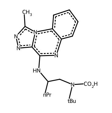 CCCC(CN(C(=O)O)C(C)(C)C)Nc1nc2ccccc2n2c(C)nnc12